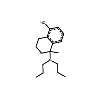 CCCN(CCC)C1(C)[C]CCc2c(O)cccc21